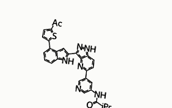 CC(=O)c1ccc(-c2cccc3[nH]c(-c4n[nH]c5ccc(-c6cncc(NC(=O)C(C)C)c6)nc45)cc23)s1